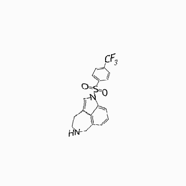 O=S(=O)(c1ccc(C(F)(F)F)cc1)n1cc2c3c(cccc31)CNCC2